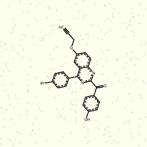 C#CCOc1ccc2nc(C(=O)c3ccc(O)cc3)nc(-c3ccc(C(C)C)cc3)c2c1